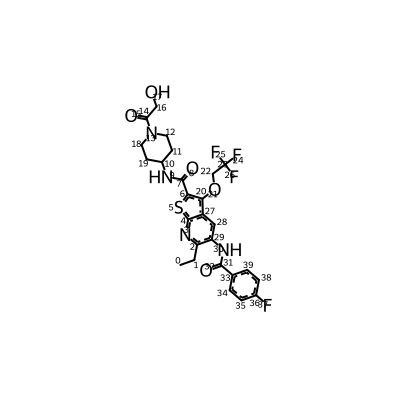 CCc1nc2sc(C(=O)NC3CCN(C(=O)CO)CC3)c(OCC(F)(F)F)c2cc1NC(=O)c1ccc(F)cc1